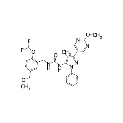 COCc1ccc(OC(F)F)c(CNC(=O)Nc2c(C)c(-c3cnc(OC)nc3)nn2-c2ccccc2)c1